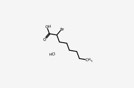 CCCCCCC(Br)C(=O)O.Cl